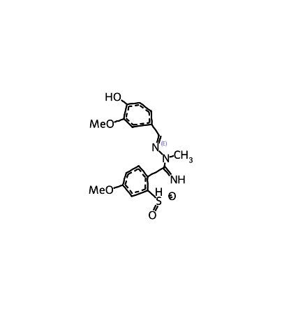 COc1ccc(C(=N)N(C)/N=C/c2ccc(O)c(OC)c2)c([SH](=O)=O)c1